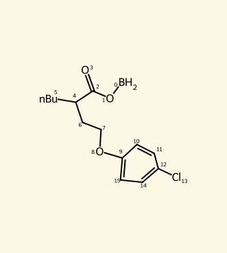 BOC(=O)C(CCCC)CCOc1ccc(Cl)cc1